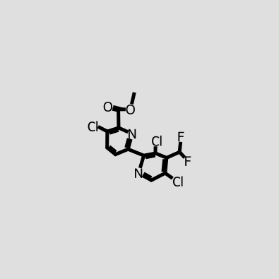 COC(=O)c1nc(-c2ncc(Cl)c(C(F)F)c2Cl)ccc1Cl